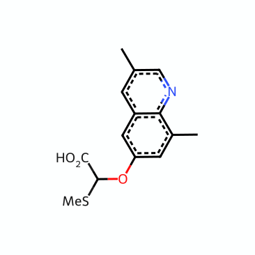 CSC(Oc1cc(C)c2ncc(C)cc2c1)C(=O)O